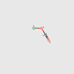 [O]=[Al][O]Cl